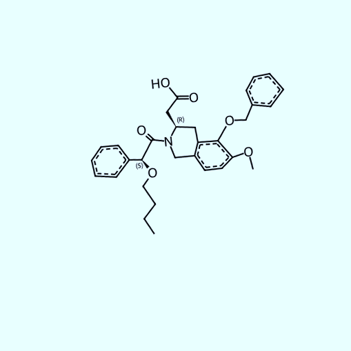 CCCCO[C@H](C(=O)N1Cc2ccc(OC)c(OCc3ccccc3)c2C[C@@H]1CC(=O)O)c1ccccc1